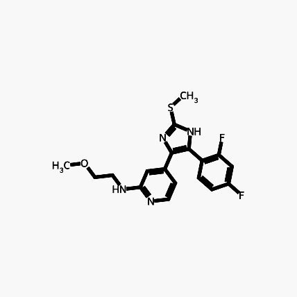 COCCNc1cc(-c2nc(SC)[nH]c2-c2ccc(F)cc2F)ccn1